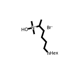 CCCCCCCCCCC(C)[N+](C)(C)O.[Br-]